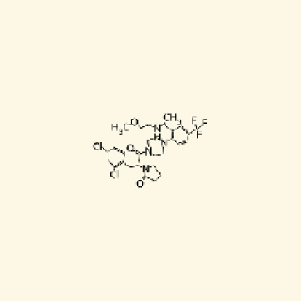 COCCNC(C)c1cc(C(F)(F)F)ccc1N1CCN(C(=O)C(Cc2ccc(Cl)cc2Cl)N2CCCC2=O)CC1